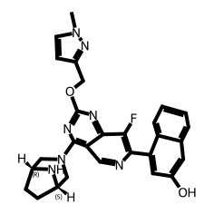 Cn1ccc(COc2nc(N3C[C@H]4CC[C@@H](C3)N4)c3cnc(-c4cc(O)cc5ccccc45)c(F)c3n2)n1